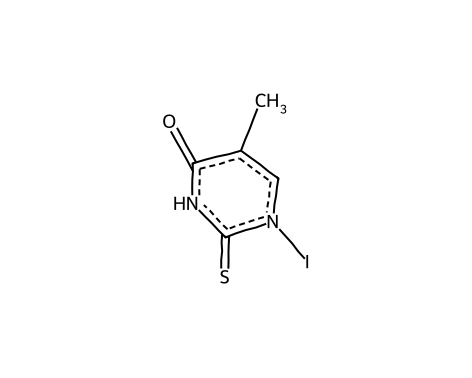 Cc1cn(I)c(=S)[nH]c1=O